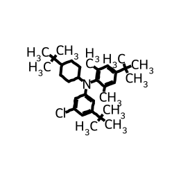 Cc1cc(C(C)(C)C)cc(C)c1N(c1cc(Cl)cc(C(C)(C)C)c1)C1CCC(C(C)(C)C)CC1